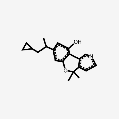 CC(CC1CC1)c1cc(O)c2c(c1)OC(C)(C)c1ccncc1-2